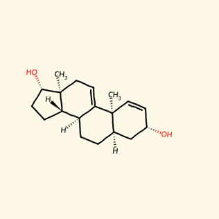 C[C@]12CC=C3[C@@H](CC[C@@H]4C[C@@H](O)C=C[C@]34C)[C@@H]1CC[C@@H]2O